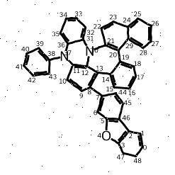 C1=Cc2c(oc3cc(-c4ccc5c6c4-c4ccccc4-c4c(ccc7ccccc47)N6c4ccccc4N5c4ccccc4)ccc23)CC1